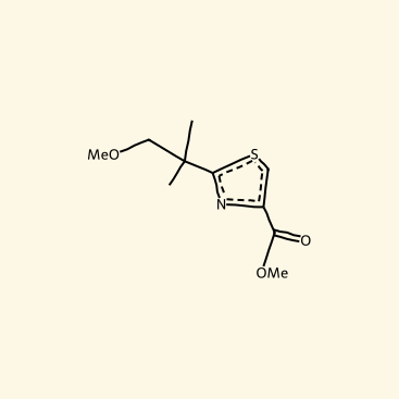 COCC(C)(C)c1nc(C(=O)OC)cs1